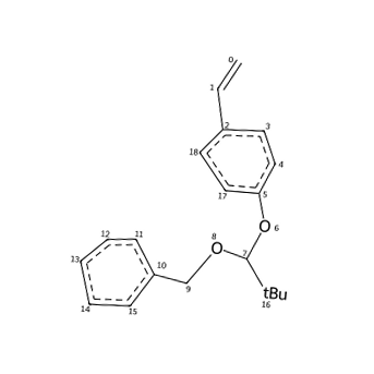 C=Cc1ccc(OC(OCc2ccccc2)C(C)(C)C)cc1